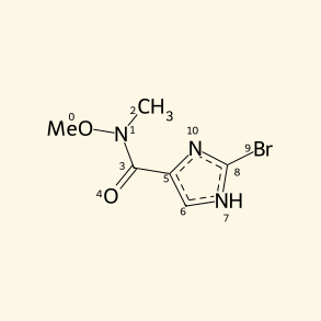 CON(C)C(=O)c1c[nH]c(Br)n1